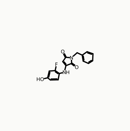 O=C1C=C(Nc2ccc(O)cc2F)C(=O)N1Cc1ccccc1